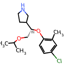 Cc1cc(Cl)ccc1O[C@H](COC(C)C)C1CCNC1